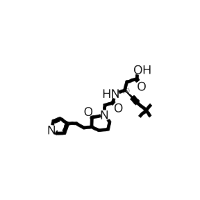 CC(C)(C)C#C[C@H](CC(=O)O)NC(=O)CN1CCCC(CCc2ccncc2)C1=O